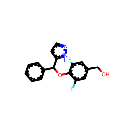 OCc1cc(F)c(OC(c2ccccc2)c2ccn[nH]2)c(F)c1